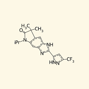 CC(C)N1C(=O)C(C)(C)c2cc3[nH]c(-c4cc(C(F)(F)F)n[nH]4)nc3cc21